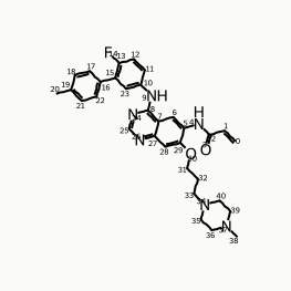 C=CC(=O)Nc1cc2c(Nc3ccc(F)c(-c4ccc(C)cc4)c3)ncnc2cc1OCCCN1CCN(C)CC1